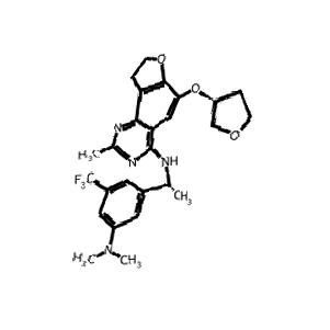 Cc1nc(N[C@H](C)c2cc(N(C)C)cc(C(F)(F)F)c2)c2cc(O[C@H]3CCOC3)c3c(c2n1)CCO3